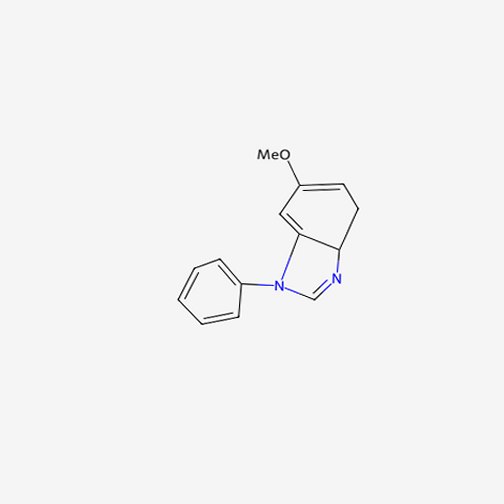 COC1=CCC2N=CN(c3ccccc3)C2=C1